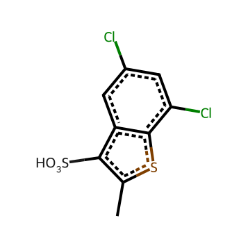 Cc1sc2c(Cl)cc(Cl)cc2c1S(=O)(=O)O